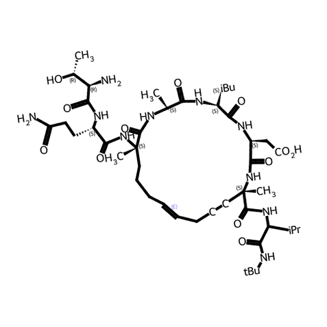 CC[C@H](C)[C@@H]1NC(=O)[C@H](C)NC(=O)[C@@](C)(NC(=O)[C@H](CCC(N)=O)NC(=O)[C@H](N)[C@@H](C)O)CCC/C=C/CCC[C@@](C)(C(=O)NC(C(=O)NC(C)(C)C)C(C)C)NC(=O)[C@H](CC(=O)O)NC1=O